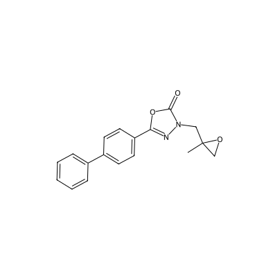 CC1(Cn2nc(-c3ccc(-c4ccccc4)cc3)oc2=O)CO1